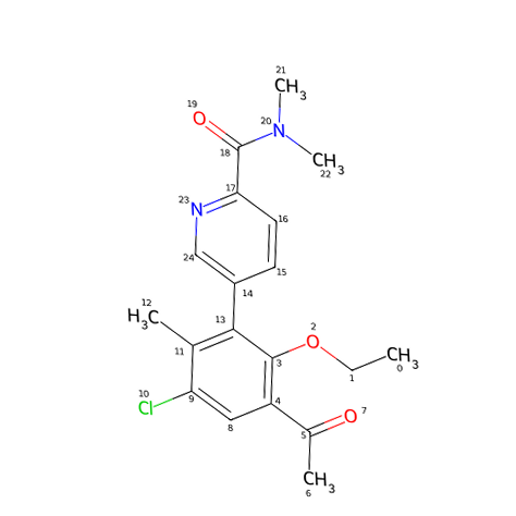 CCOc1c(C(C)=O)cc(Cl)c(C)c1-c1ccc(C(=O)N(C)C)nc1